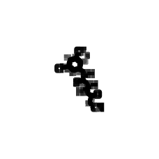 N#CCC(=O)NNC(=S)Nc1cc(Cl)cc(C(F)(F)F)c1